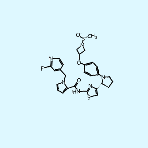 C[S+]([O-])N1CC(Oc2ccc(N3CCC[C@@H]3c3csc(NC(=O)c4cccn4Cc4ccnc(F)c4)n3)cc2)C1